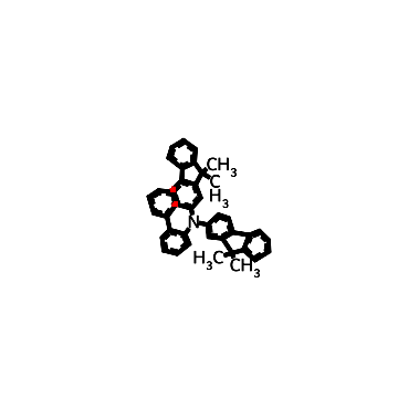 CC1(C)c2ccccc2-c2ccc(N(c3ccc4c(c3)C(C)(C)c3ccccc3-4)c3ccccc3-c3ccccc3)cc21